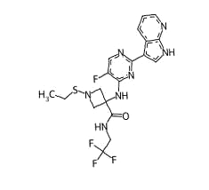 CCSN1CC(Nc2nc(-c3c[nH]c4ncccc34)ncc2F)(C(=O)NCC(F)(F)F)C1